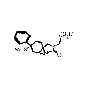 CN[C@]1(c2ccccc2)CC[C@@]2(CC1)CN(CC(=O)O)C(=O)N2